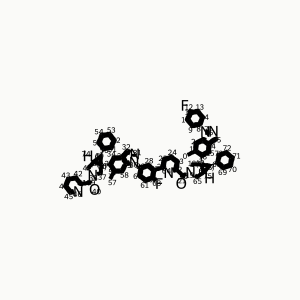 Cc1cc2c(cnn2-c2ccc(F)cc2)cc1[C@@]12CN(C(=O)c3cccc(-c4cc(-n5ncc6cc([C@]78CN(C(=O)c9ccccn9)C[C@H]7[C@@H]8c7ccccc7)c(C)cc65)ccc4F)n3)C[C@@H]1[C@H]2c1ccccc1